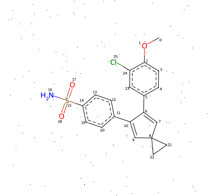 COc1ccc(C2=CC3(C=C2c2ccc(S(N)(=O)=O)cc2)CC3)cc1Cl